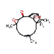 C/C1=C/CCC2(C)OC2C(=O)C2=CCC(C)C(C)(CC1)C2(C)O